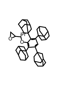 CC(C)C(Oc1c(C23CC4CC(CC(C4)C2)C3)c(C23CC4CC(CC(C4)C2)C3)cc(C23CC4CC(CC(C4)C2)C3)c1C12CC3CC(CC(C3)C1)C2)C1CO1